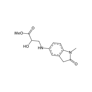 COC(=O)C(O)CNc1ccc2c(c1)CC(=O)N2C